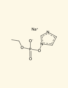 CCOP(=O)([O-])On1ccnc1.[Na+]